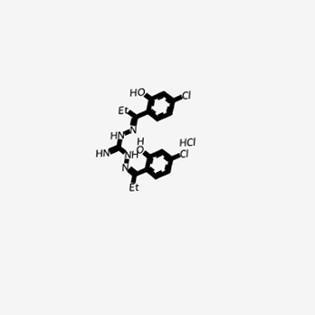 CCC(=NNC(=N)NN=C(CC)c1ccc(Cl)cc1O)c1ccc(Cl)cc1O.Cl